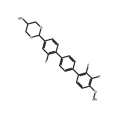 CCCOc1ccc(-c2ccc(-c3ccc(C4OCC(CCC)CO4)cc3F)cc2)c(F)c1F